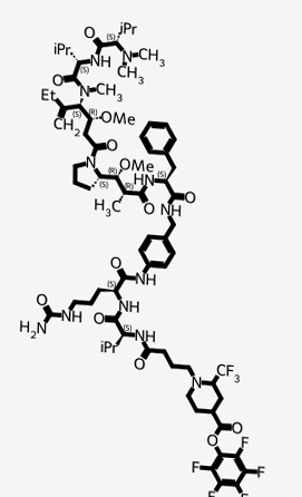 C=C(CC)[C@@H]([C@@H](CC(=O)N1CCC[C@H]1[C@H](OC)[C@@H](C)C(=O)N[C@@H](Cc1ccccc1)C(=O)NCc1ccc(NC(=O)[C@H](CCCNC(N)=O)NC(=O)[C@@H](NC(=O)CCCN2CCC(C(=O)Oc3c(F)c(F)c(F)c(F)c3F)CC2C(F)(F)F)C(C)C)cc1)OC)N(C)C(=O)[C@@H](NC(=O)[C@H](C(C)C)N(C)C)C(C)C